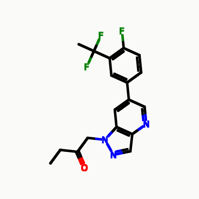 CCC(=O)Cn1ncc2ncc(-c3ccc(F)c(C(C)(F)F)c3)cc21